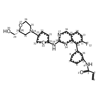 C=CC(=O)Nc1cccc(-c2c(F)ccc3cnc(Nc4ccc(N5CCO[C@@H](CO)C5)cc4)nc23)c1